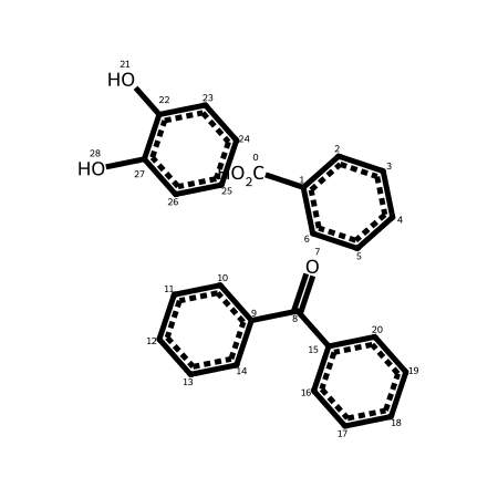 O=C(O)c1ccccc1.O=C(c1ccccc1)c1ccccc1.Oc1ccccc1O